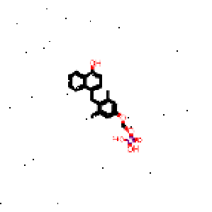 Cc1cc(OCOP(=O)(O)O)cc(C)c1Cc1ccc(O)c2ccccc12